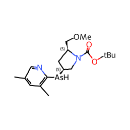 COC[C@@H]1C[C@H]([AsH]c2ncc(C)cc2C)CN1C(=O)OC(C)(C)C